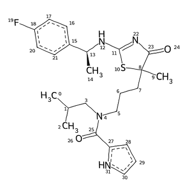 CC(C)CN(CCCC1(C)SC(N[C@@H](C)c2ccc(F)cc2)=NC1=O)C(=O)c1ccc[nH]1